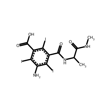 CNC(=O)C(C)NC(=O)c1c(I)c(N)c(I)c(C(=O)O)c1I